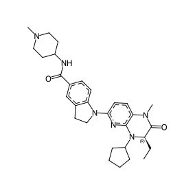 CC[C@@H]1C(=O)N(C)c2ccc(N3CCc4cc(C(=O)NC5CCN(C)CC5)ccc43)nc2N1C1CCCC1